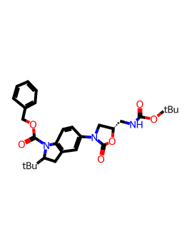 CC(C)(C)OC(=O)NC[C@H]1CN(c2ccc3c(c2)CC(C(C)(C)C)N3C(=O)OCc2ccccc2)C(=O)O1